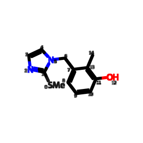 CSc1nccn1Cc1cccc(O)c1C